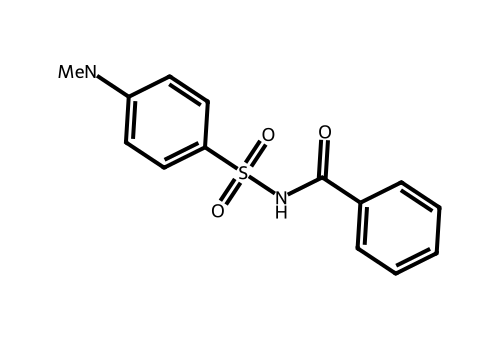 CNc1ccc(S(=O)(=O)NC(=O)c2ccccc2)cc1